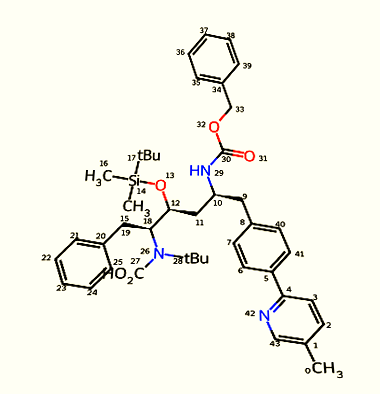 Cc1ccc(-c2ccc(C[C@@H](C[C@H](O[Si](C)(C)C(C)(C)C)[C@H](Cc3ccccc3)N(C(=O)O)C(C)(C)C)NC(=O)OCc3ccccc3)cc2)nc1